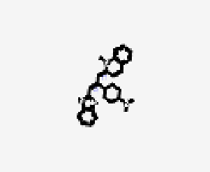 CN1/C(=C/C(=C/c2nc3ccccc3s2)C2CCC(N(C)C)CC2)C=Cc2ccccc21